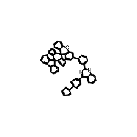 c1ccc(-c2ccc(-c3nc(-c4cccc(-c5ccc6c(c5)Oc5ccccc5C65c6ccccc6C6(c7ccccc7-c7ccccc76)c6ccccc65)c4)nc4ccccc34)cc2)cc1